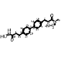 CN(C)C(=O)[C@@H](N)Cc1ccc(-c2ccc(CCC(=O)NO)cc2)cc1